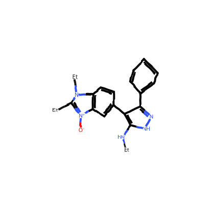 CCNc1[nH]nc(-c2ccccc2)c1-c1ccc2c(c1)[n+]([O-])c(CC)n2CC